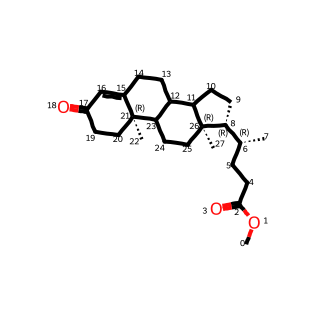 COC(=O)CC[C@@H](C)[C@H]1CCC2C3CCC4=CC(=O)CC[C@]4(C)C3CC[C@@]21C